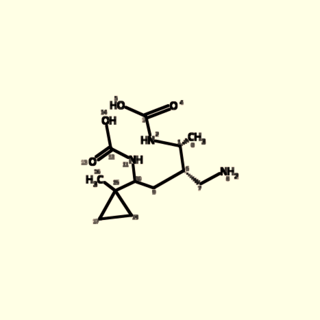 C[C@@H](NC(=O)O)[C@H](CN)CC(NC(=O)O)C1(C)CC1